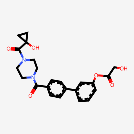 O=C(CO)Oc1cccc(-c2ccc(C(=O)N3CCN(C(=O)C4(O)CC4)CC3)cc2)c1